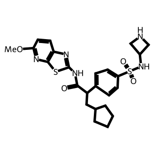 COc1ccc2nc(NC(=O)C(CC3CCCC3)c3ccc(S(=O)(=O)NC4CNC4)cc3)sc2n1